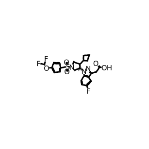 O=C(O)Cc1nn([C@H]2CN(S(=O)(=O)c3ccc(OC(F)F)cc3)CC2C2CCC2)c2ccc(F)cc12